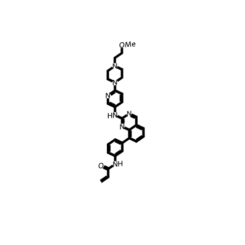 C=CC(=O)Nc1cccc(-c2cccc3cnc(Nc4ccc(N5CCN(CCOC)CC5)nc4)nc23)c1